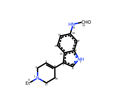 CCN1CC=C(c2c[nH]c3cc(NC=O)ccc23)CC1